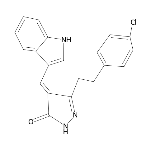 O=C1NN=C(CCc2ccc(Cl)cc2)C1=Cc1c[nH]c2ccccc12